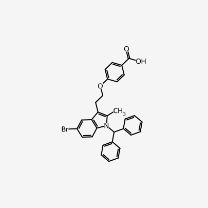 Cc1c(CCOc2ccc(C(=O)O)cc2)c2cc(Br)ccc2n1C(c1ccccc1)c1ccccc1